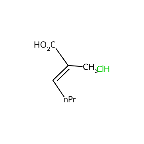 CCCC=C(C)C(=O)O.Cl